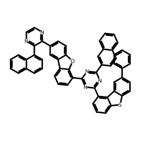 c1ccc(-c2ccc3sc4cccc(-c5nc(-c6ccc7ccccc7c6)nc(-c6cccc7c6oc6ccc(-c8nccnc8-c8cccc9ccccc89)cc67)n5)c4c3c2)cc1